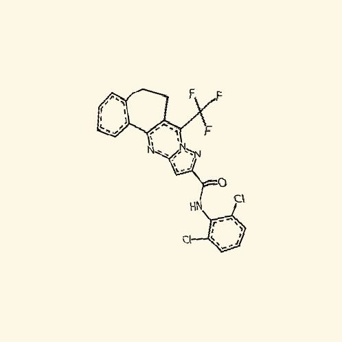 O=C(Nc1c(Cl)cccc1Cl)c1cc2nc3c(c(C(F)(F)F)n2n1)CCc1ccccc1-3